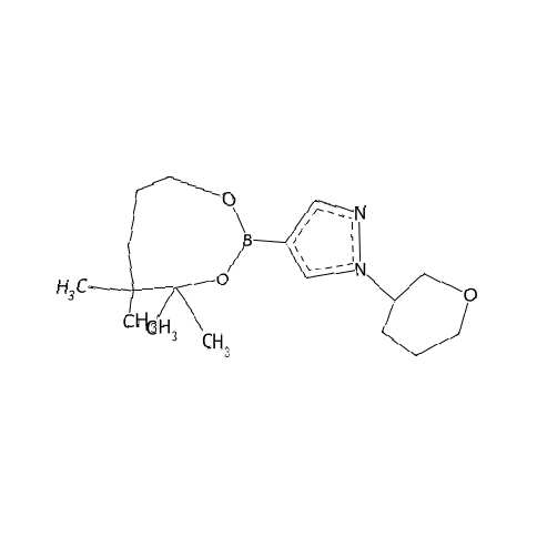 CC1(C)CCCOB(c2cnn(C3CCCOC3)c2)OC1(C)C